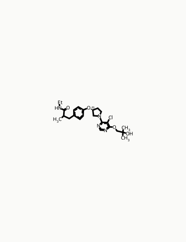 CCNC(=O)C(C)Cc1ccc(O[C@@H]2CCN(c3ncnc(OCC(C)(C)O)c3Cl)C2)cc1